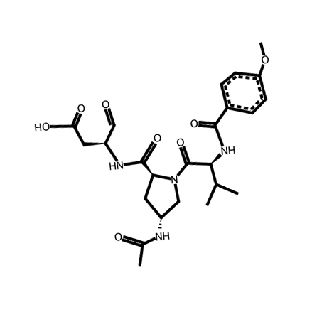 COc1ccc(C(=O)N[C@H](C(=O)N2C[C@H](NC(C)=O)C[C@H]2C(=O)N[C@H](C=O)CC(=O)O)C(C)C)cc1